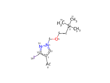 CC(=O)c1cn(COCC[Si](C)(C)C)nc1I